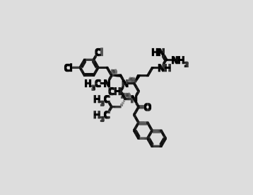 CC(C)C[C@@H]1CN(C[C@H](Cc2ccc(Cl)cc2Cl)N(C)C)[C@@H](CCCNC(=N)N)CN1C(=O)Cc1ccc2ccccc2c1